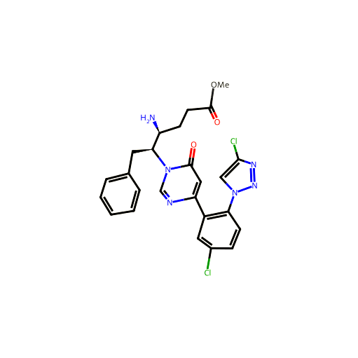 COC(=O)CC[C@H](N)[C@H](Cc1ccccc1)n1cnc(-c2cc(Cl)ccc2-n2cc(Cl)nn2)cc1=O